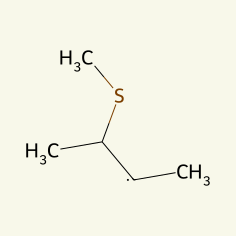 C[CH]C(C)SC